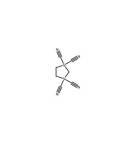 N#C[Si]1(C#N)CC[Si](C#N)(C#N)C1